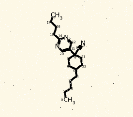 CCCCCC1CCC(C#N)(c2cnc(CCCC)nc2)CC1